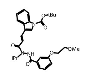 COCCOc1cccc(C(=O)NN(C(=O)C=Cc2cn(C(=O)OC(C)(C)C)c3ccccc23)C(C)C)c1